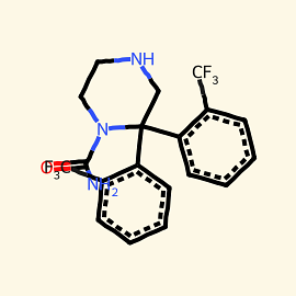 NC(=O)N1CCNCC1(c1ccccc1C(F)(F)F)c1ccccc1C(F)(F)F